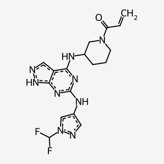 C=CC(=O)N1CCCC(Nc2nc(Nc3cnn(C(F)F)c3)nc3[nH]ncc23)C1